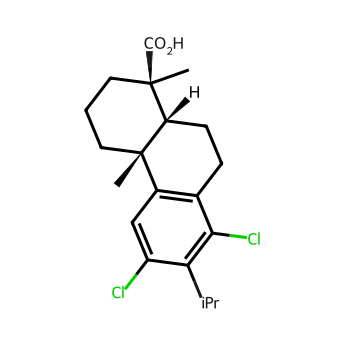 CC(C)c1c(Cl)cc2c(c1Cl)CC[C@H]1[C@](C)(C(=O)O)CCC[C@@]21C